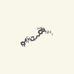 Nc1c[nH]c2ccc(CCCN3CCN(c4nc(-c5cccnc5)cs4)CC3)cc12